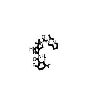 CC1CN2CCCC2CN1C(=O)N1Cc2c(NC(=O)c3c(F)ccc(F)c3F)n[nH]c2C1(C)C